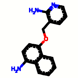 Nc1ncccc1COc1ccc(N)c2ccccc12